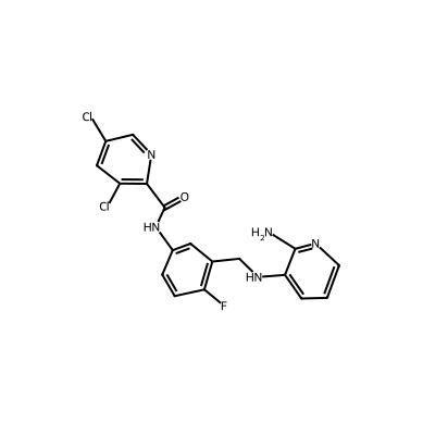 Nc1ncccc1NCc1cc(NC(=O)c2ncc(Cl)cc2Cl)ccc1F